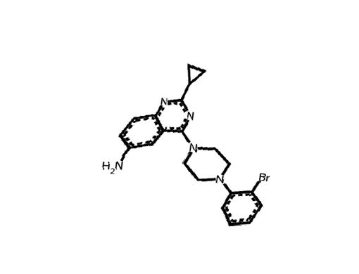 Nc1ccc2nc(C3CC3)nc(N3CCN(c4ccccc4Br)CC3)c2c1